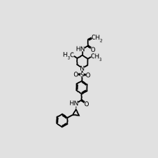 C=CC(=O)NC1C(C)CN(S(=O)(=O)c2ccc(C(=O)N[C@@H]3CC3c3ccccc3)cc2)CC1C